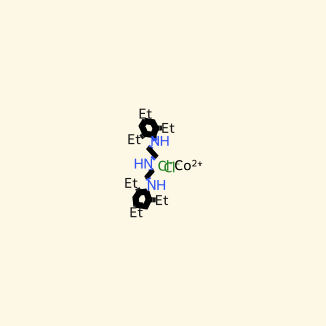 CCc1cc(CC)c(NCCNCCNc2c(CC)cc(CC)cc2CC)c(CC)c1.[Cl-].[Cl-].[Co+2]